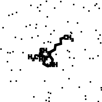 CCCCCCC1CNCCN1[SiH](C)C